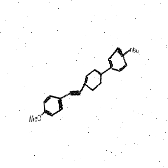 CCCCc1ccc(C2CC=C(C#Cc3ccc(OC)cc3)CC2)cc1